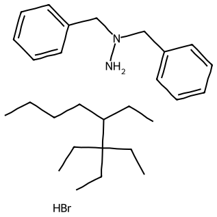 Br.CCCCC(CC)C(CC)(CC)CC.NN(Cc1ccccc1)Cc1ccccc1